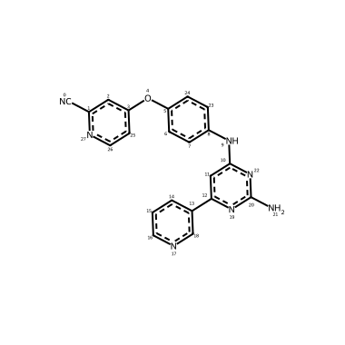 N#Cc1cc(Oc2ccc(Nc3cc(-c4cccnc4)nc(N)n3)cc2)ccn1